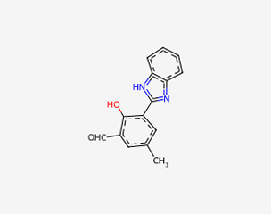 Cc1cc(C=O)c(O)c(-c2nc3ccccc3[nH]2)c1